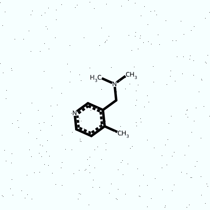 Cc1ccncc1CN(C)C